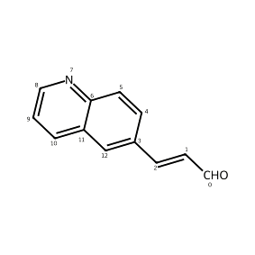 O=C/C=C/c1ccc2ncccc2c1